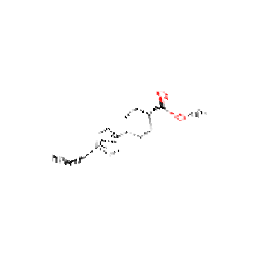 CCCCCC12CCC([C@H]3CC[C@H](C(=O)OCCC)CC3)(CC1)CC2